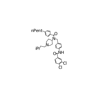 CCCCCc1ccc(C(=O)N(Cc2ccc(NC(=O)c3ccc(Cl)c(Cl)c3)cc2)C2CCN(CCC(C)C)CC2)cc1